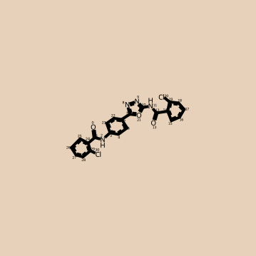 O=C(Nc1ccc(-c2nnc(NC(=O)c3ccccc3Cl)o2)cc1)c1ccccc1Cl